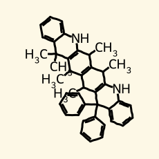 CC1C2=C(C(C)C3=C1C(C)C1=C(C3C)C(c3ccccc3)(c3ccccc3)c3ccccc3N1)C(C)(C)c1ccccc1N2